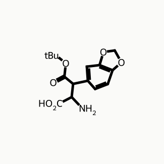 CC(C)(C)OC(=O)C(c1ccc2c(c1)OCO2)C(N)C(=O)O